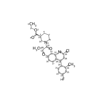 CCOC(=O)[C@H]1CCCN(C(=O)[C@@H](C)Oc2ccc3c(-c4ccc(F)cc4C)cc(Cl)nc3c2)C1